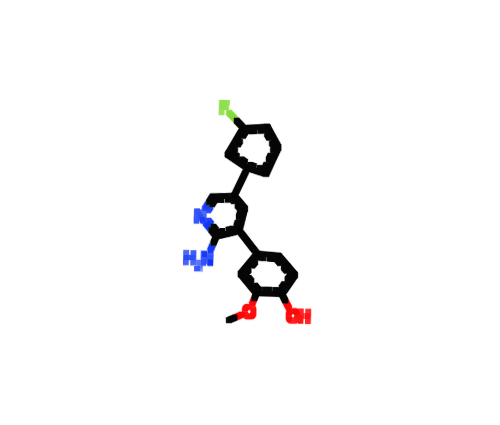 COc1cc(-c2cc(-c3cccc(F)c3)cnc2N)ccc1O